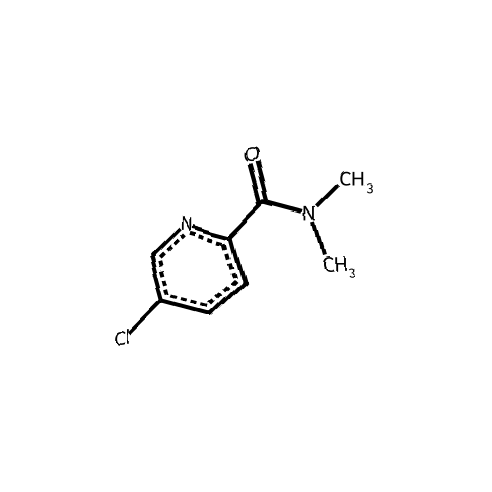 CN(C)C(=O)c1ccc(Cl)cn1